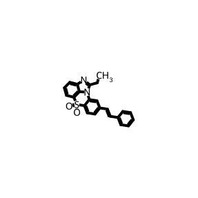 CCc1nc2cccc3c2n1-c1cc(/C=C/c2ccccc2)ccc1S3(=O)=O